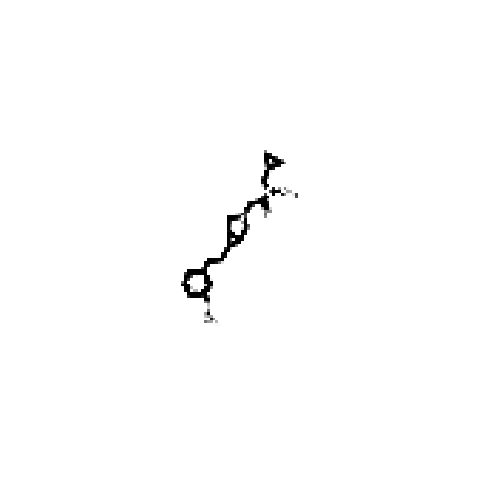 CN(CC1CC1)C(=O)CN1CC2C(C[CH]c3cccc(OC(F)(F)F)c3)C2C1